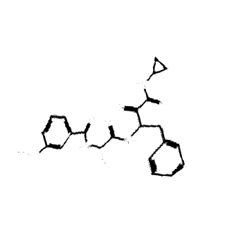 COc1cccc(C(=O)N[C@H](C(=O)NC(Cc2ccccc2)C(=O)C(=O)NC2CC2)C(C)C)c1